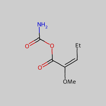 CCC=C(OC)C(=O)OC(N)=O